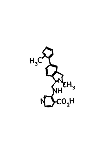 Cc1ccccc1-c1ccc2c(c1)CN(C)[C@H]2CNc1cnccc1C(=O)O